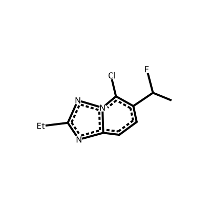 CCc1nc2ccc(C(C)F)c(Cl)n2n1